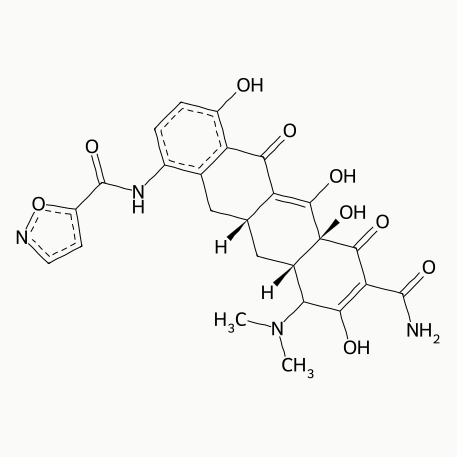 CN(C)C1C(O)=C(C(N)=O)C(=O)[C@@]2(O)C(O)=C3C(=O)c4c(O)ccc(NC(=O)c5ccno5)c4C[C@H]3C[C@@H]12